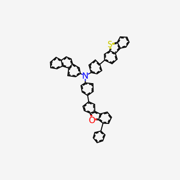 c1ccc(-c2cccc3c2oc2ccc(-c4ccc(N(c5ccc(-c6ccc7c(c6)sc6ccccc67)cc5)c5ccc6c(ccc7ccccc76)c5)cc4)cc23)cc1